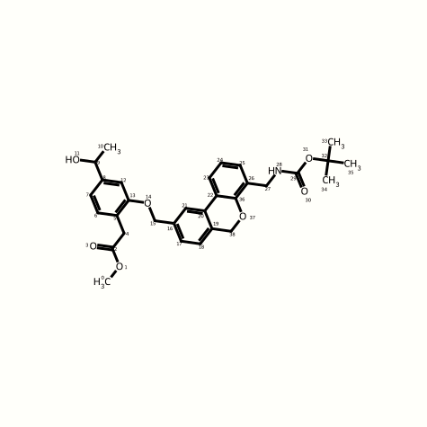 COC(=O)Cc1ccc(C(C)O)cc1OCc1ccc2c(c1)-c1cccc(CNC(=O)OC(C)(C)C)c1OC2